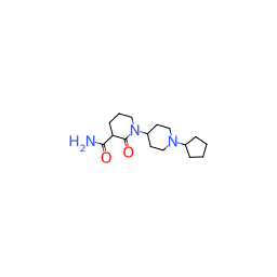 NC(=O)C1CCCN(C2CCN(C3CCCC3)CC2)C1=O